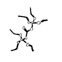 CCO[Si](OCC)(OCC)OC(=O)O[Si](OCC)(OCC)OCC